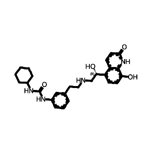 O=C(Nc1cccc(CCNC[C@H](O)c2ccc(O)c3[nH]c(=O)ccc23)c1)NC1CCCCC1